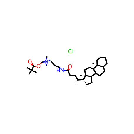 C[C@H](CCC(=O)NCCC[N+](C)(C)COC(=O)C(C)(C)C)[C@H]1CCC2C3CCC4CCCC[C@]4(C)C3CC[C@@]21C.[Cl-]